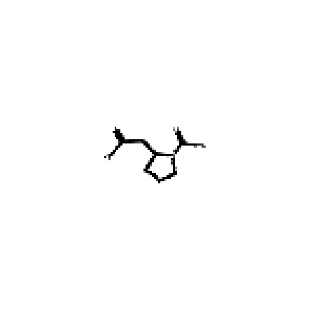 O=C(Cl)CC1CCCN1C(=O)O